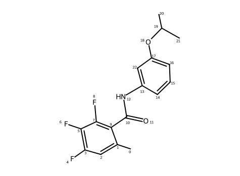 Cc1cc(F)c(F)c(F)c1C(=O)Nc1cccc(OC(C)C)c1